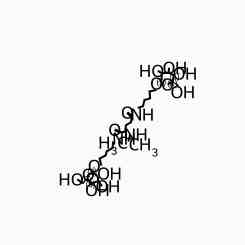 CC(C)NC(CCC(=O)NCCCCCCO[C@H]1O[C@H](CO)[C@@H](O)C(O)C1O)C(=O)NCCCCCCO[C@H]1O[C@H](CO)[C@@H](O)C(O)C1O